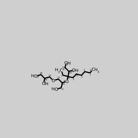 CCCCCCC(CC)(OC(CO)COCC(O)CO)C(O)CO